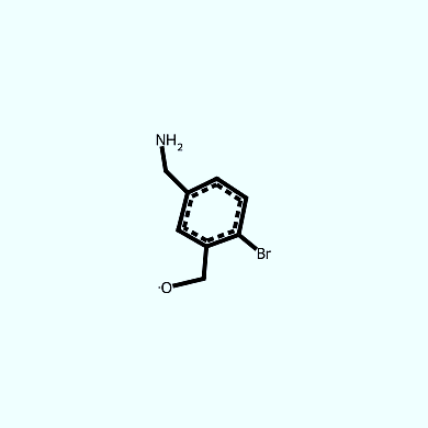 NCc1ccc(Br)c(C[O])c1